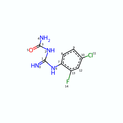 N=C(NC(N)=O)Nc1ccc(Cl)cc1F